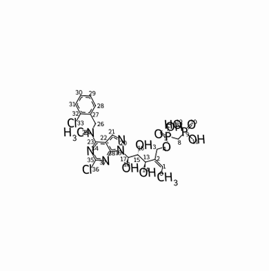 C/C=C(/COP(=O)(O)CP(=O)(O)O)[C@@H](O)[C@@H](O)[C@@H](O)n1ncc2c(N(C)Cc3ccccc3Cl)nc(Cl)nc21